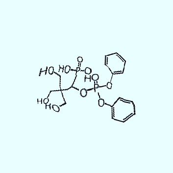 O=P(Oc1ccccc1)(Oc1ccccc1)OC(C(CO)(CO)CO)P(=O)(O)O